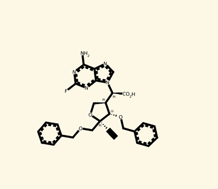 C#C[C@]1(COCc2ccccc2)OC[C@@H]([C@H](C(=O)O)n2cnc3c(N)nc(F)nc32)[C@@H]1OCc1ccccc1